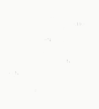 O=CC(=O)C1=CNc2cc(F)c([N+](=O)[O-])cc2N1